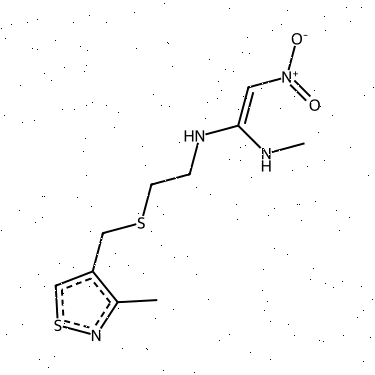 CNC(=C[N+](=O)[O-])NCCSCc1csnc1C